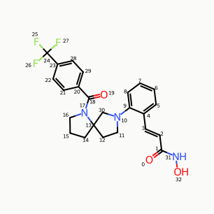 O=C(C=Cc1ccccc1N1CCC2(CCCN2C(=O)c2ccc(C(F)(F)F)cc2)C1)NO